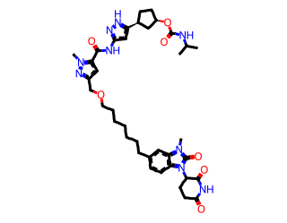 CC(C)NC(=O)O[C@@H]1CC[C@H](c2cc(NC(=O)c3cc(COCCCCCCCc4ccc5c(c4)n(C)c(=O)n5C4CCC(=O)NC4=O)nn3C)n[nH]2)C1